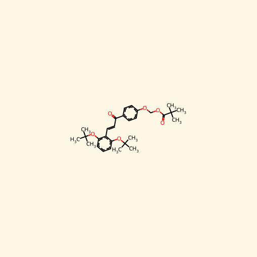 CC(C)(C)Oc1cccc(OC(C)(C)C)c1C=CC(=O)c1ccc(OCOC(=O)C(C)(C)C)cc1